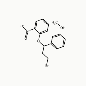 CO.O=[N+]([O-])c1ccccc1OC(CCBr)c1ccccc1